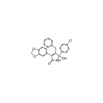 O=C1NC(O)(c2ccc(Cl)cc2)C(Cc2ccccc2)=C1c1ccc2c(c1)OCO2